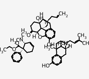 C=CCN1CC[C@]23c4c5ccc(O)c4O[C@H]2C(=O)CC[C@@]3(O)[C@H]1C5.CC(C)=CCN1CC[C@@]2(C)c3cc(O)ccc3C[C@@H]1[C@@H]2C.CCOC(=O)[C@]1(c2ccccc2)CCC=C[C@H]1N(C)C